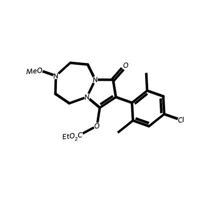 CCOC(=O)Oc1c(-c2c(C)cc(Cl)cc2C)c(=O)n2n1CCN(OC)CC2